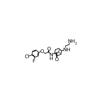 NCCNC12CCC(NC(=O)COc3ccc(Cl)c(F)c3)(CC1)C(=O)C2